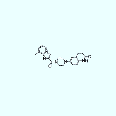 Cc1cccn2cc(C(=O)N3CCN(c4ccc5c(c4)CCC(=O)N5)CC3)nc12